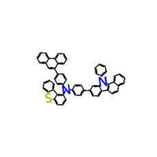 c1ccc(-n2c3cc(-c4ccc(N(c5ccc(-c6cc7ccccc7c7ccccc67)cc5)c5cccc6sc7ccccc7c56)cc4)ccc3c3ccc4ccccc4c32)cc1